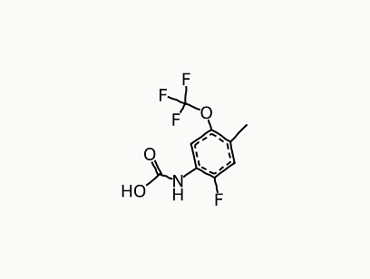 Cc1cc(F)c(NC(=O)O)cc1OC(F)(F)F